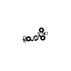 ClN1c2ccccc2N=C(N2CCN(Cc3ccc4c(c3)OCO4)CC2)c2ccccc21